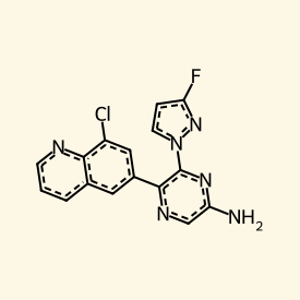 Nc1cnc(-c2cc(Cl)c3ncccc3c2)c(-n2ccc(F)n2)n1